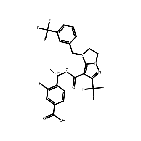 C[C@H](NC(=O)c1c(C(F)(F)F)nn2c1N(Cc1cccc(C(F)(F)F)c1)CC2)c1ccc(C(=O)O)cc1F